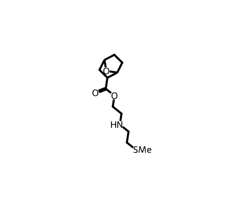 CSCCNCCOC(=O)C1CC2CCC1O2